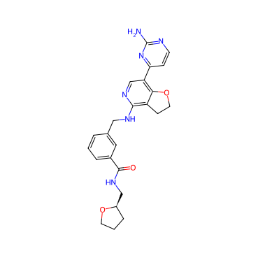 Nc1nccc(-c2cnc(NCc3cccc(C(=O)NC[C@H]4CCCO4)c3)c3c2OCC3)n1